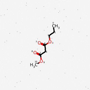 CCCOC(=O)CC(=O)OC